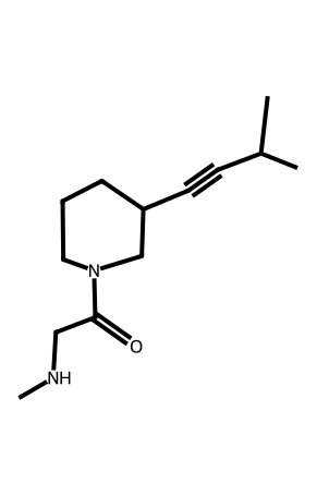 CNCC(=O)N1CCCC(C#CC(C)C)C1